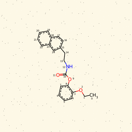 CCOc1ccccc1OC(=O)NCCc1ccc2ccccc2c1